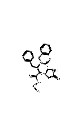 CC(C)ONC(=O)C(=O)C(Cc1ccccc1)N(Cc1ccccc1)C(=O)[C@H]1CCC(=O)N1